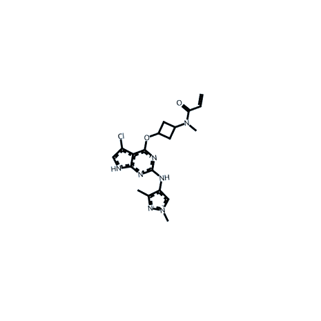 C=CC(=O)N(C)C1CC(Oc2nc(Nc3cn(C)nc3C)nc3[nH]cc(Cl)c23)C1